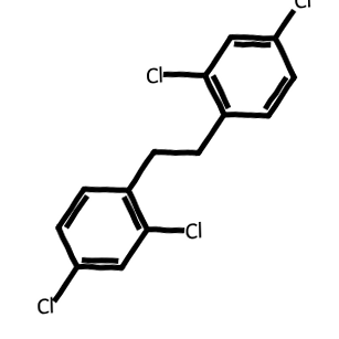 Clc1ccc(CCc2ccc(Cl)cc2Cl)c(Cl)c1